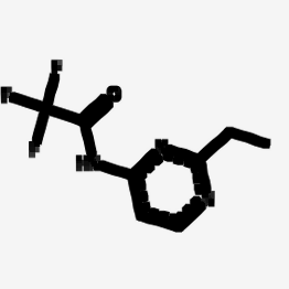 CCc1nccc(NC(=O)C(F)(F)F)n1